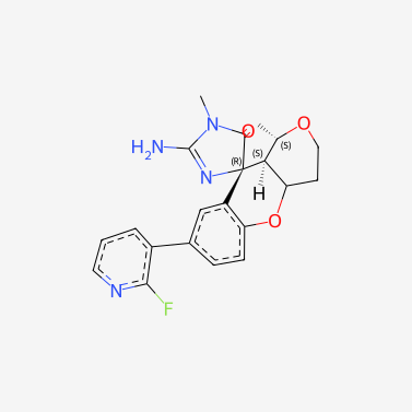 C[C@@H]1OCCC2Oc3ccc(-c4cccnc4F)cc3[C@]3(N=C(N)N(C)C3=O)[C@H]21